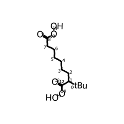 CC(C)(C)C(CCCCCCC(=O)OO)C(=O)OO